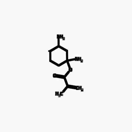 C=C(C)C(=O)OC1(N)CC[CH]C(N)C1